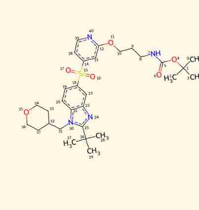 CC(C)(C)OC(=O)NCCCOc1cc(S(=O)(=O)c2ccc3c(c2)nc(C(C)(C)C)n3CC2CCOCC2)ccn1